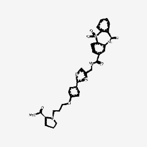 COC(=O)[C@@H]1CCCN1CCCOc1ccc(-c2ncc(CNC(=O)c3c#cc4c(c3)NC(=O)c3ccccc3S4(=O)=O)s2)cc1